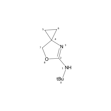 CC(C)(C)NC1=NC2(CC2)CO1